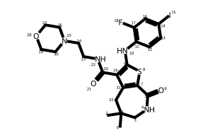 CC1(C)CNC(=O)c2sc(Nc3ccc(I)cc3F)c(C(=O)NCCN3CCOCC3)c2C1